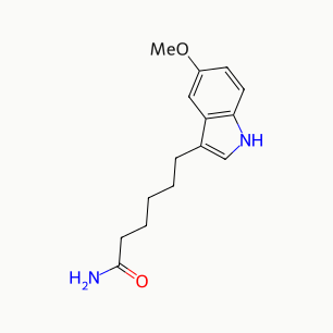 COc1ccc2[nH]cc(CCCCCC(N)=O)c2c1